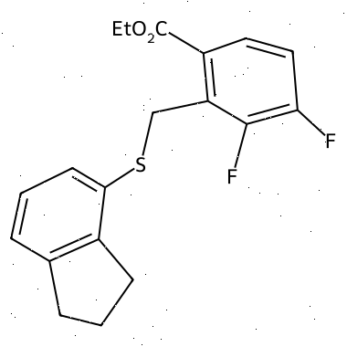 CCOC(=O)c1ccc(F)c(F)c1CSc1cccc2c1CCC2